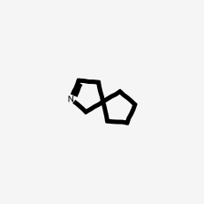 C1=NCC2(C1)CCCC2